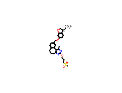 Cc1nc(OCCCS(C)(=O)=O)nc2c1-c1cc(COc3ccc4c(c3)OC[C@H]4CC(=O)O)ccc1CCC2